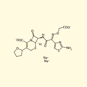 Nc1nc(C(=NOCC(=O)[O-])C(=O)N[C@@H]2C(=O)N3C(C(=O)[O-])=C(C4CCCO4)CS[C@H]23)cs1.[Na+].[Na+]